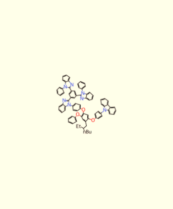 CCCCC(CC)Cc1cc(Oc2ccccc2)c(Oc2ccc(-n3c(-c4cc(-c5nc6ccccc6n5-c5ccccc5)cc(-c5nc6ccccc6n5-c5ccccc5)c4)nc4ccccc43)cc2)cc1Oc1ccc(-n2c3ccccc3c3ccccc32)cc1